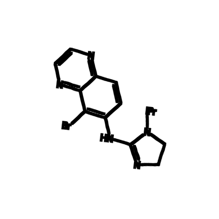 CC(C)N1CCN=C1Nc1ccc2nccnc2c1Br